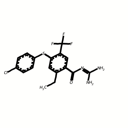 CCc1cc(Sc2ccc(Cl)cc2)c(C(F)(F)F)cc1C(=O)N=C(N)N